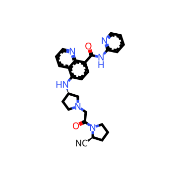 N#C[C@@H]1CCCN1C(=O)CN1CC[C@H](Nc2ccc(C(=O)Nc3ccccn3)c3ncccc23)C1